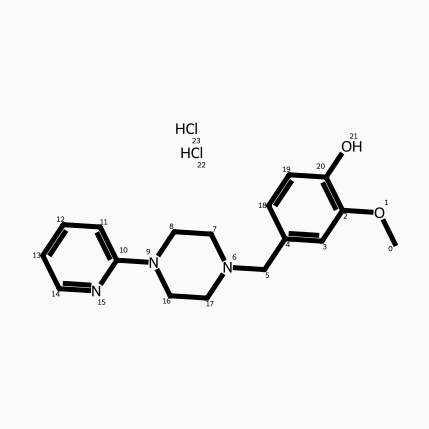 COc1cc(CN2CCN(c3ccccn3)CC2)ccc1O.Cl.Cl